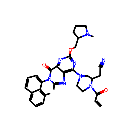 C=CC(=O)N1CCN(c2nc(OCC3CCCN3C)nc3c(=O)n(-c4cccc5cccc(C)c45)c(C)nc23)CC1CC#N